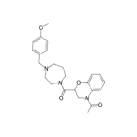 COc1ccc(CN2CCCN(C(=O)C3CN(C(C)=O)c4ccccc4O3)CC2)cc1